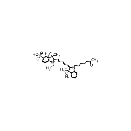 CC[N+]1=C(/C=C/C=C/C=C2/N(CCCCCC(C)=O)c3ccccc3C2(C)C)C(C)(C)c2cc(S(=O)(=O)O)ccc21